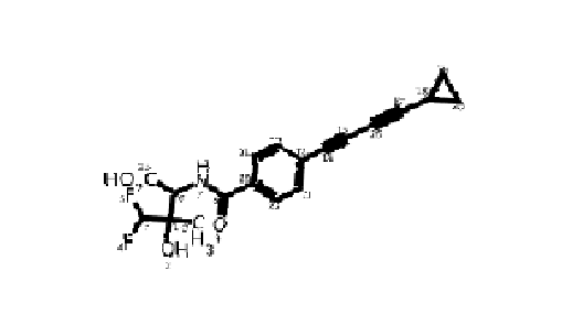 CC(O)(C(F)F)C(NC(=O)c1ccc(C#CC#CC2CC2)cc1)C(=O)O